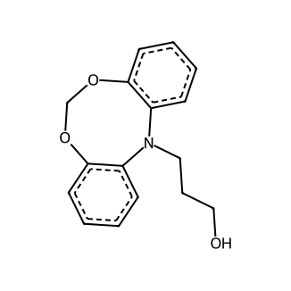 OCCCN1c2ccccc2OCOc2ccccc21